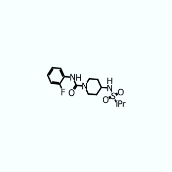 CC(C)S(=O)(=O)NC1CCN(C(=O)Nc2ccccc2F)CC1